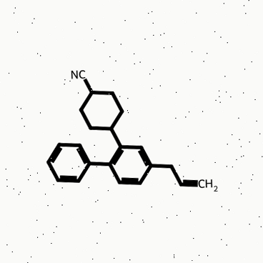 C=CCc1ccc(-c2ccccc2)c(C2CCC(C#N)CC2)c1